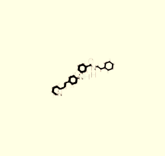 O=C(NCCC1CCCCC1)c1cccc(Nc2ccc(/C=C/c3ccccn3)cc2)c1